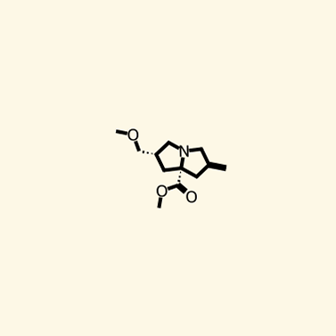 C=C1CN2C[C@@H](COC)C[C@]2(C(=O)OC)C1